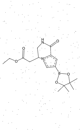 CCOC(=O)CC1CNC(=O)c2cc(B3OC(C)(C)C(C)(C)O3)cn21